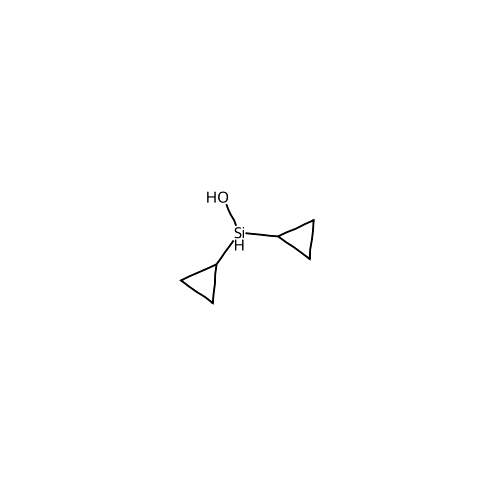 O[SiH](C1CC1)C1CC1